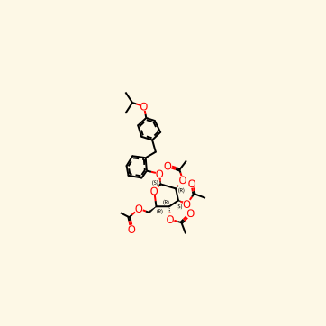 CC(=O)OC[C@H]1O[C@@H](Oc2ccccc2Cc2ccc(OC(C)C)cc2)[C@H](OC(C)=O)[C@@H](OC(C)=O)[C@@H]1OC(C)=O